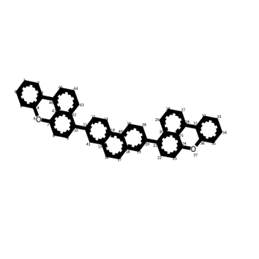 c1ccc2c(c1)Oc1ccc(-c3ccc4c(ccc5cc(-c6ccc7c8c(cccc68)-c6ccccc6O7)ccc54)c3)c3cccc-2c13